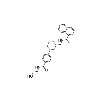 C[C@@H](NCC1CCCC(c2ccc(C(=O)NCCO)cc2)C1)c1cccc2ccccc12